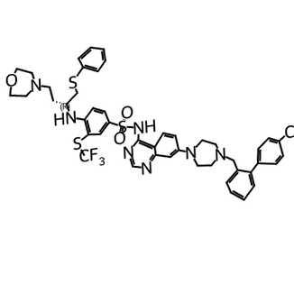 O=S(=O)(Nc1ncnc2cc(N3CCN(Cc4ccccc4-c4ccc(Cl)cc4)CC3)ccc12)c1ccc(N[C@H](CCN2CCOCC2)CSc2ccccc2)c(SC(F)(F)F)c1